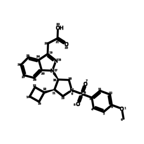 COc1ccc(S(=O)(=O)N2C[C@@H](C3CCC3)[C@@H](n3nc(CC(=O)O)c4ccccc43)C2)cc1